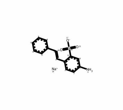 Nc1ccc(C=Cc2ccccc2)c(S(=O)(=O)[O-])c1.[Na+]